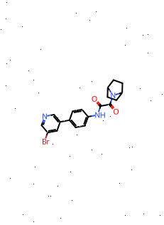 O=C(Nc1ccc(-c2cncc(Br)c2)cc1)C(=O)N1C2CCC1CC2